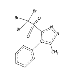 Cc1nnc(S(=O)(=O)C(Br)(Br)Br)n1-c1ccccc1